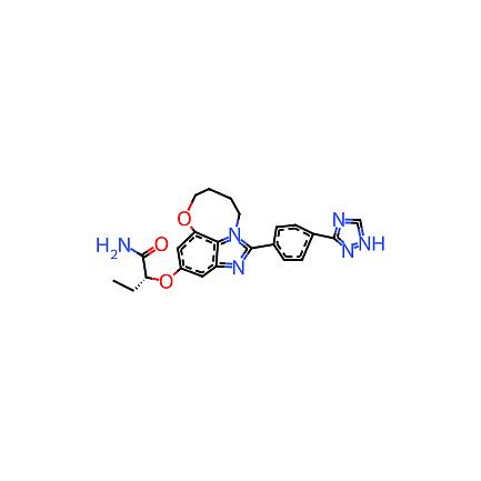 CC[C@@H](Oc1cc2c3c(c1)nc(-c1ccc(-c4nc[nH]n4)cc1)n3CCCCO2)C(N)=O